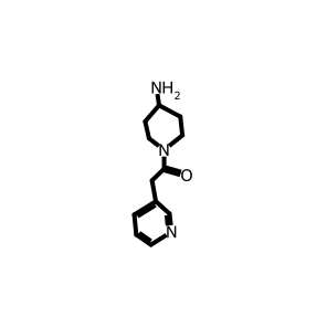 NC1CCN(C(=O)Cc2cccnc2)CC1